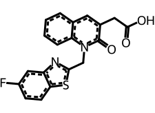 O=C(O)Cc1cc2ccccc2n(Cc2nc3cc(F)ccc3s2)c1=O